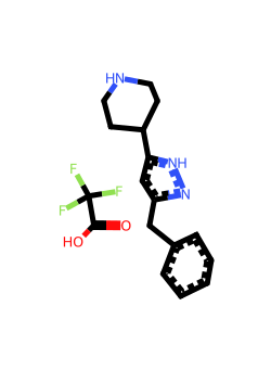 O=C(O)C(F)(F)F.c1ccc(Cc2cc(C3CCNCC3)[nH]n2)cc1